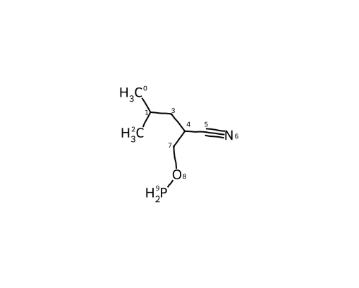 CC(C)CC(C#N)COP